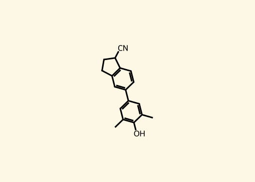 Cc1cc(-c2ccc3c(c2)CCC3C#N)cc(C)c1O